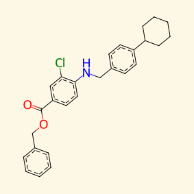 O=C(OCc1ccccc1)c1ccc(NCc2ccc(C3CCCCC3)cc2)c(Cl)c1